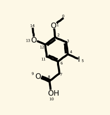 COc1cc(I)c(CC(=O)O)cc1OC